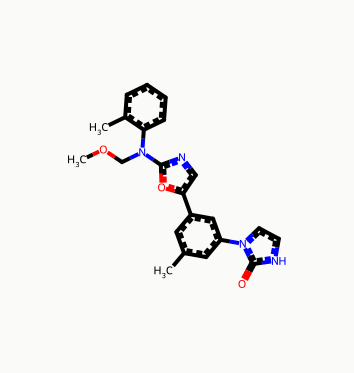 COCN(c1ncc(-c2cc(C)cc(-n3cc[nH]c3=O)c2)o1)c1ccccc1C